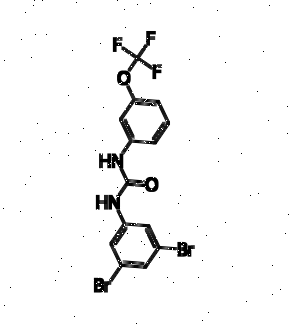 O=C(Nc1cc(Br)cc(Br)c1)Nc1cccc(OC(F)(F)F)c1